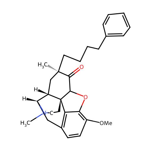 COc1ccc2c3c1OC1C(=O)[C@](C)(CCCCc4ccccc4)C[C@H]4[C@@H](C2)N(C)CC[C@]314